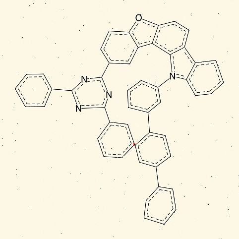 c1ccc(-c2ccc(-c3cccc(-n4c5ccccc5c5ccc6oc7ccc(-c8nc(-c9ccccc9)nc(-c9ccccc9)n8)cc7c6c54)c3)cc2)cc1